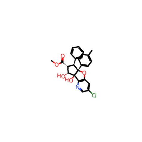 COC(=O)[C@H]1[C@@H](O)[C@@]2(O)c3ncc(Cl)cc3O[C@@]2(c2ccc(C)cc2)[C@@H]1c1ccccc1